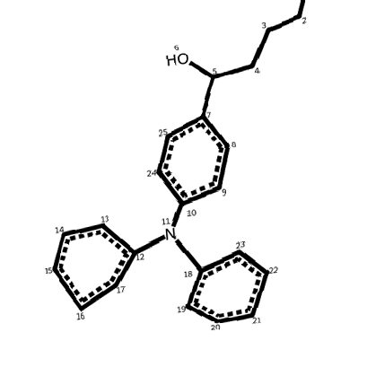 CCCCCC(O)c1ccc(N(c2ccccc2)c2ccccc2)cc1